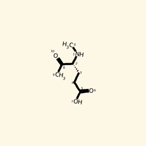 CN[C@H](CCC(=O)O)C(C)=O